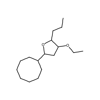 CCCC1OC(C2CCCCCCC2)CC1OCC